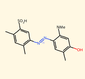 CNc1cc(O)c(C)cc1/N=N/c1cc(S(=O)(=O)O)c(C)cc1C